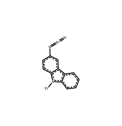 CCn1c2ccccc2c2cc(N=[N+]=[N-])ccc21